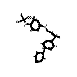 CCC(C)(Oc1ccc(OCC=C(C)c2ccc(-c3ccccc3)cc2)cc1)C(=O)O